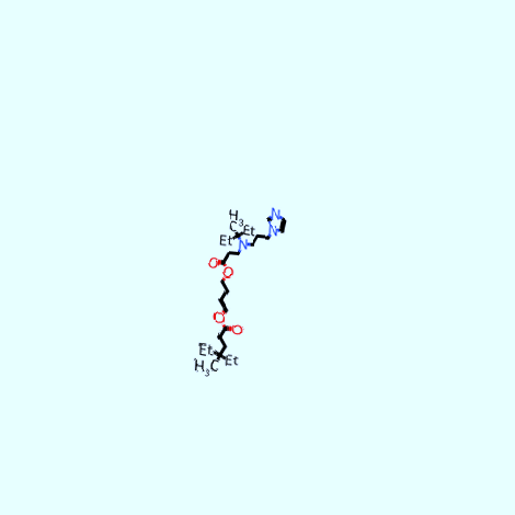 CCC(C)(CC)CCC(=O)OCCCCOC(=O)CCN(CCCn1ccnc1)C(C)(CC)CC